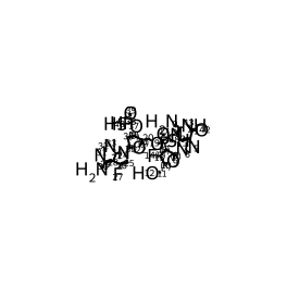 Nc1nc2c(ncn2[C@@H]2O[C@H](CO)[C@@H](F)[C@H]2P(=O)(S)OC[C@H]2O[C@@H](n3cc(F)c4c(N)ncnc43)C[C@@H]2O[PH](=O)S)c(=O)[nH]1